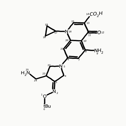 CC(C)(C)ON=C1CN(c2cc(N)c3c(=O)c(C(=O)O)cn(C4CC4)c3c2)CC1CN